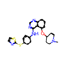 CN1CCC(Oc2cccc3ncnc(Nc4ccc(Sc5nccs5)cc4)c23)CC1